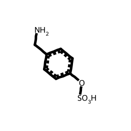 NCc1ccc(OS(=O)(=O)O)cc1